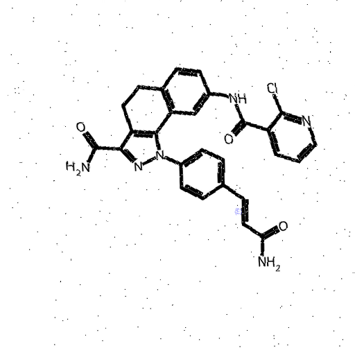 NC(=O)/C=C/c1ccc(-n2nc(C(N)=O)c3c2-c2cc(NC(=O)c4cccnc4Cl)ccc2CC3)cc1